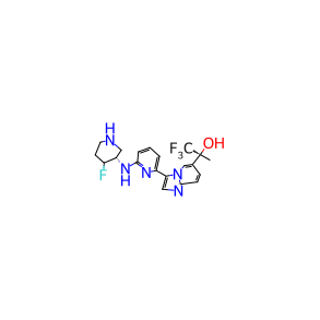 C[C@@](O)(c1ccc2ncc(-c3cccc(N[C@H]4CNCC[C@@H]4F)n3)n2c1)C(F)(F)F